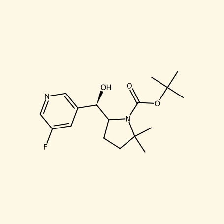 CC(C)(C)OC(=O)N1C([C@H](O)c2cncc(F)c2)CCC1(C)C